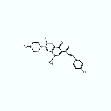 CC(=O)N1CCN(c2cc3c(cc2F)c(=O)c(C(=O)/C=C/c2ccc(O)cc2)cn3C2CC2)CC1